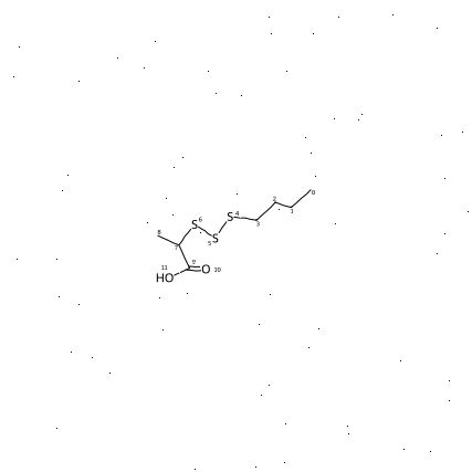 CCCCSSSC(C)C(=O)O